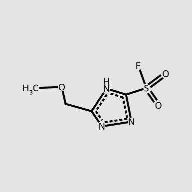 COCc1nnc(S(=O)(=O)F)[nH]1